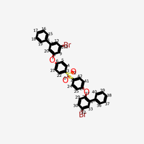 O=S(=O)(c1ccc(Oc2cc(Br)cc(-c3ccccc3)c2)cc1)c1ccc(Oc2ccc(Br)cc2-c2ccccc2)cc1